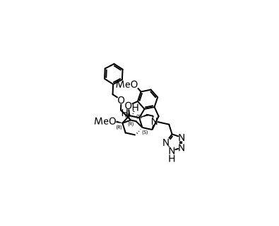 COc1ccc2c3c1O[C@H]1[C@@]4(OC)CC[C@@]5(C[C@@H]4COCc4ccccc4)C(C2)N(Cc2nn[nH]n2)CC[C@]315